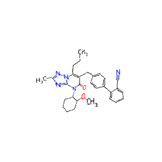 CCCc1c(Cc2ccc(-c3ccccc3C#N)cc2)c(=O)n(C2CCCCC2OC)c2nc(C)nn12